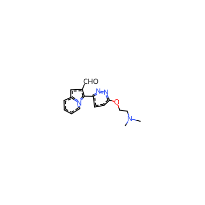 CN(C)CCOc1ccc(-c2c(C=O)cc3ccccn23)nn1